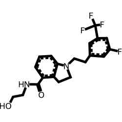 O=C(NCCO)c1cccc2c1CCN2CCc1cc(F)cc(C(F)(F)F)c1